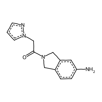 Nc1ccc2c(c1)CN(C(=O)Cn1cccn1)C2